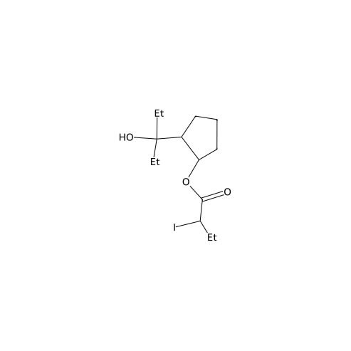 CCC(I)C(=O)OC1CCCC1C(O)(CC)CC